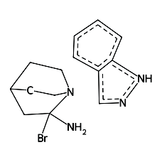 NC1(Br)CC2CCN1CC2.c1ccc2[nH]ncc2c1